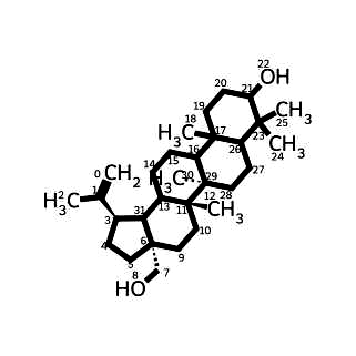 C=C(C)[C@@H]1CC[C@]2(CO)CC[C@]3(C)C(CCC4C5(C)CCC(O)C(C)(C)C5CC[C@]43C)C12